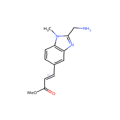 COC(=O)/C=C/c1ccc2c(c1)nc(CN)n2C